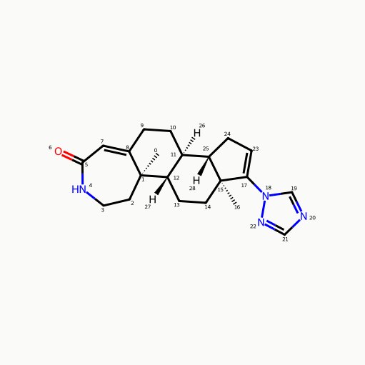 C[C@]12CCNC(=O)C=C1CC[C@@H]1[C@@H]2CC[C@]2(C)C(n3cncn3)=CC[C@@H]12